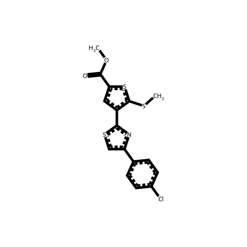 COC(=O)c1cc(-c2nc(-c3ccc(Cl)cc3)cs2)c(SC)s1